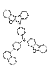 c1ccc2c(-c3ccc(N(c4ccc(-n5c6ccccc6c6c7ccccc7oc65)cc4)c4ccc5c(c4)oc4ccccc45)cc3)cccc2c1